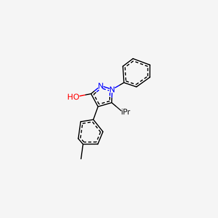 Cc1ccc(-c2c(O)nn(-c3ccccc3)c2C(C)C)cc1